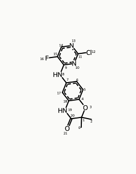 CC1(C)Oc2ccc(Nc3nc(Cl)ncc3F)cc2NC1=O